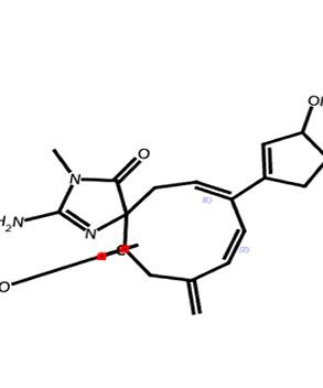 C=C1/C=C\C(C2=CC(O)CC2)=C/CC2(N=C(N)N(C)C2=O)C2(CCC(OC)CC2)C1